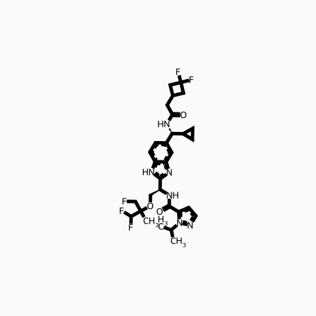 CC(C)n1nccc1C(=O)N[C@@H](COC(C)(CF)C(F)F)c1nc2cc([C@H](NC(=O)CC3CC(F)(F)C3)C3CC3)ccc2[nH]1